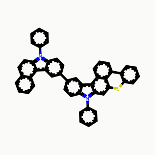 c1ccc(-n2c3ccc(-c4ccc5c(c4)c4c6cccc7c6c(cc4n5-c4ccccc4)Sc4ccccc4-7)cc3c3c4ccccc4ccc32)cc1